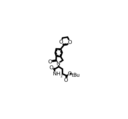 CC(C)(C)OC(=O)CCC(C(N)=O)N1Cc2cc(C3=COCCO3)ccc2C1=O